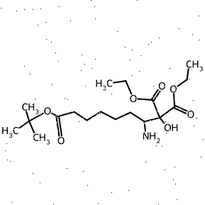 CCOC(=O)C(O)(C(=O)OCC)C(N)CCCCCC(=O)OC(C)(C)C